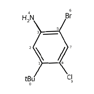 CC(C)(C)c1cc(N)c(Br)cc1Cl